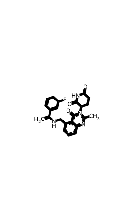 C=C(NCc1cccc2nc(C)n(C3CCC(=O)NC3=O)c(=O)c12)C1=CC(F)CC=C1